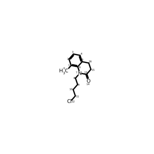 Cc1cccc2c1N(CCCCCl)C(=O)CC2